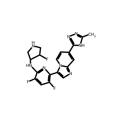 Cc1nnc(-c2ccn3c(-c4nc(NC5CNCC5F)c(F)cc4F)cnc3c2)[nH]1